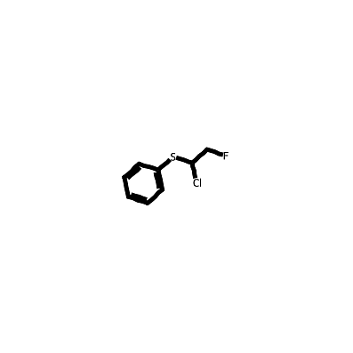 FCC(Cl)Sc1ccccc1